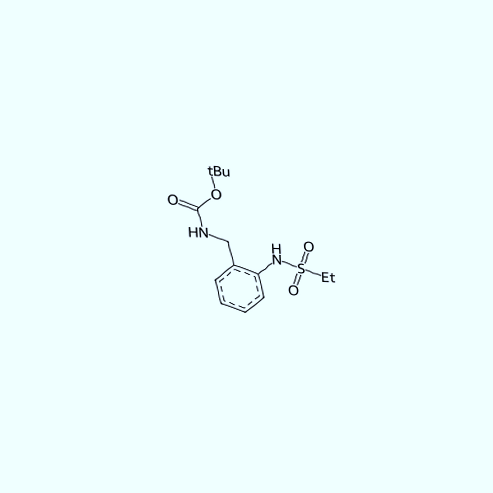 CCS(=O)(=O)Nc1ccccc1CNC(=O)OC(C)(C)C